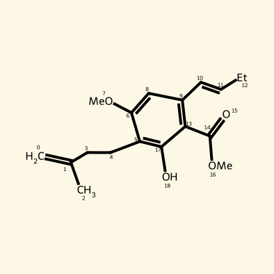 C=C(C)CCc1c(OC)cc(C=CCC)c(C(=O)OC)c1O